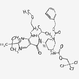 COCCCNc1nc(C(C)(C)C)ncc1C(=O)N(CC(C)C)[C@H]1C[C@@H](NC(=O)OCC(Cl)(Cl)Cl)CN(C(=O)OCc2ccccc2)C1